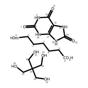 CCCCCCCCCCCCCCCC(=O)O.O=c1[nH]c(=O)c2[nH]c(=O)[nH]c2[nH]1.OCC(CO)(CO)CO